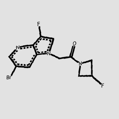 O=C(Cn1cc(F)c2ncc(Br)cc21)N1CC(F)C1